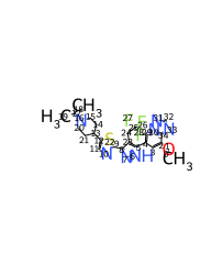 COc1cc(-c2[nH]nc(-c3ncc(C4CCN(C(C)C)CC4)s3)c2CC(F)(F)F)cn2ncnc12